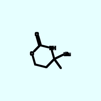 CC(C)(C)C1(C)CCOC(=O)N1